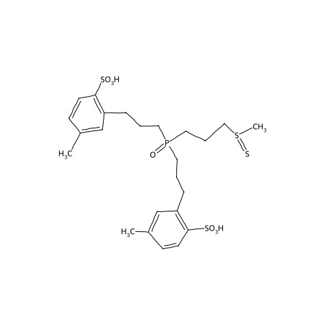 Cc1ccc(S(=O)(=O)O)c(CCCP(=O)(CCCc2cc(C)ccc2S(=O)(=O)O)CCCS(C)=S)c1